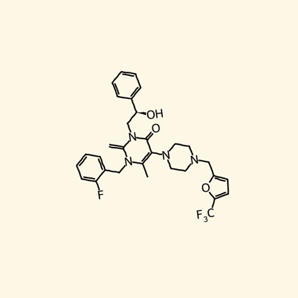 C=C1N(C[C@H](O)c2ccccc2)C(=O)C(N2CCN(Cc3ccc(C(F)(F)F)o3)CC2)=C(C)N1Cc1ccccc1F